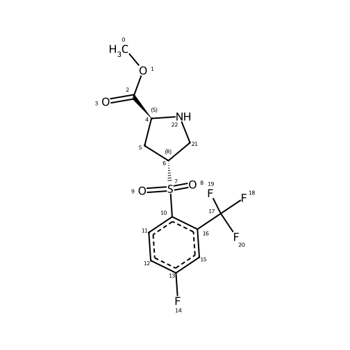 COC(=O)[C@@H]1C[C@@H](S(=O)(=O)c2ccc(F)cc2C(F)(F)F)CN1